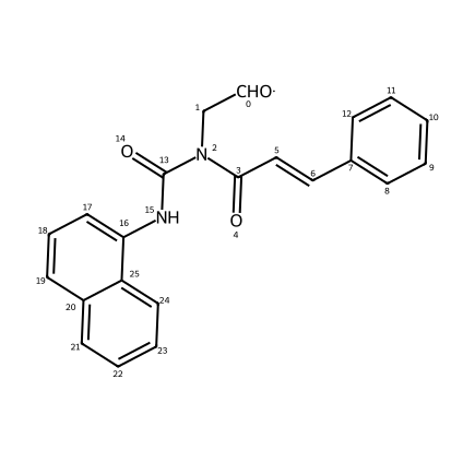 O=[C]CN(C(=O)/C=C/c1ccccc1)C(=O)Nc1cccc2ccccc12